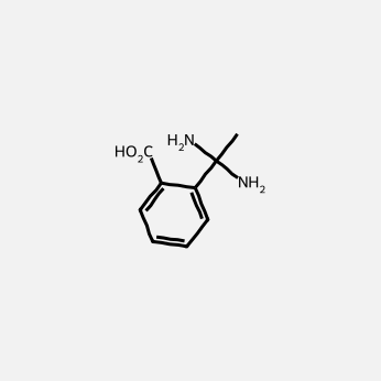 CC(N)(N)c1ccccc1C(=O)O